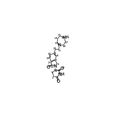 O=C1CC[C@H](N2Cc3cc(CCN4CCCNCC4)ccc3C2=O)C(=O)N1